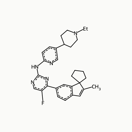 CCN1CCC(c2ccc(Nc3ncc(F)c(-c4ccc5c(c4)C4(CCCC4)C(C)=C5)n3)nc2)CC1